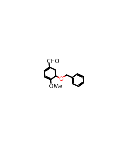 COC1=CC=C(C=O)CC1OCc1ccccc1